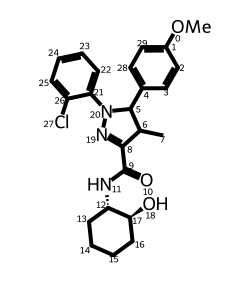 COc1ccc(C2C(C)C(C(=O)N[C@H]3CCCC[C@@H]3O)=NN2c2ccccc2Cl)cc1